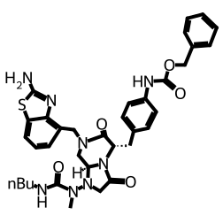 CCCCNC(=O)N(C)N1CC(=O)N2[C@@H](Cc3ccc(NC(=O)OCc4ccccc4)cc3)C(=O)N(Cc3cccc4sc(N)nc34)C[C@@H]21